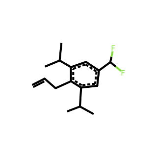 C=CCc1c(C(C)C)cc(C(F)F)cc1C(C)C